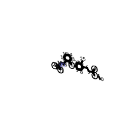 CCOC(=O)CCc1ccc(Oc2ccccc2/C=C/[N+](=O)[O-])cc1C